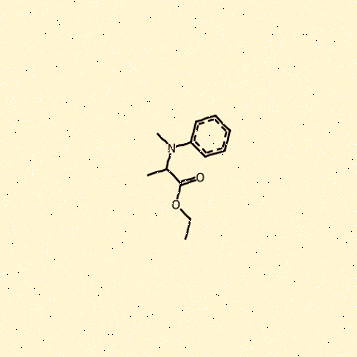 CCOC(=O)C(C)N(C)c1ccccc1